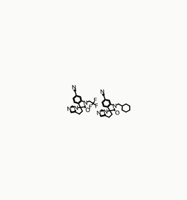 N#Cc1ccc2c(c1)N(CC(F)(F)F)C(=O)C21CCc2cncn21.N#Cc1ccc2c(c1)N(CC1CCCCC1)C(=O)C21CCc2cncn21